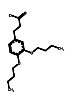 CCCCOc1ccc(CCC(=O)Cl)cc1OCCCC